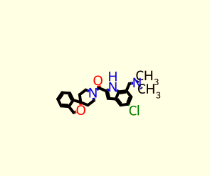 CN(C)Cc1cc(Cl)cc2cc(C(=O)N3CCC4(CC3)OCc3ccccc34)[nH]c12